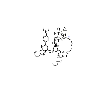 CCN(CC)c1ccc(-c2cc(O[C@@H]3C[C@H]4C(=O)N[C@]5(C(=O)NS(=O)(=O)C6CC6)C[C@H]5/C=C\CCCCC[C@H](NC(=O)OC5CCCC5)C(=O)N4C3)n3nc4ccccc4c3n2)cc1